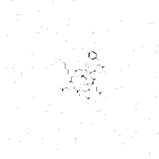 C[C@H](NC(=O)CN)C(=O)N[C@@H](CCCCN)C(=O)N[C@@H](CCC(N)=O)C(=O)N[C@@H](CC(N)=O)C(=O)N[C@@H](CCC(=O)O)C(=O)N[C@@H](C)C(=O)N[C@@H](Cc1ccccc1)C(=O)O